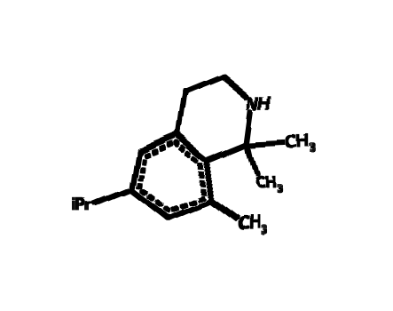 Cc1cc(C(C)C)cc2c1C(C)(C)NCC2